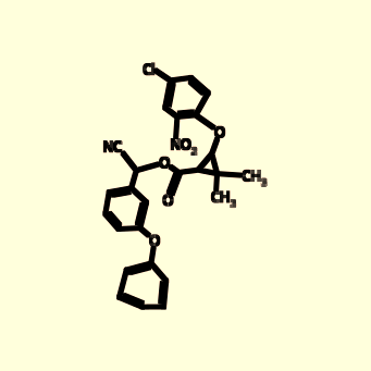 CC1(C)C(Oc2ccc(Cl)cc2[N+](=O)[O-])C1C(=O)OC(C#N)c1cccc(Oc2ccccc2)c1